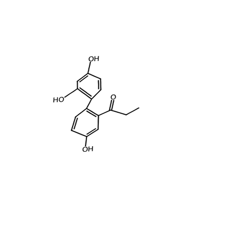 CCC(=O)c1cc(O)ccc1-c1ccc(O)cc1O